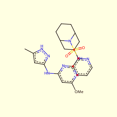 COc1cc(Nc2cc(C)[nH]n2)nc(NC2CC3CCCC(C2)N3S(=O)(=O)c2ccccn2)n1